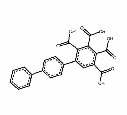 O=C(O)c1cc(-c2ccc(-c3ccccc3)cc2)c(C(=O)O)c(C(=O)O)c1C(=O)O